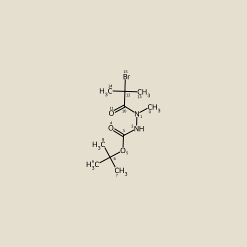 CN(NC(=O)OC(C)(C)C)C(=O)C(C)(C)Br